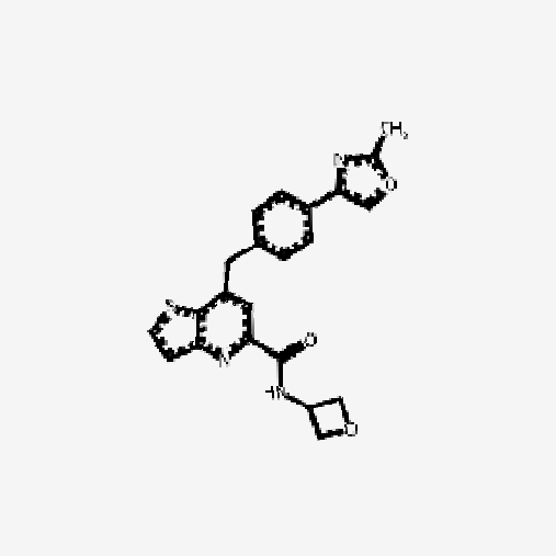 Cc1nc(-c2ccc(Cc3cc(C(=O)NC4COC4)nc4ccsc34)cc2)co1